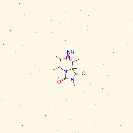 CC1C(C)[PH](=N)C(C)C2(C)C(=O)N(C)C(=O)N12